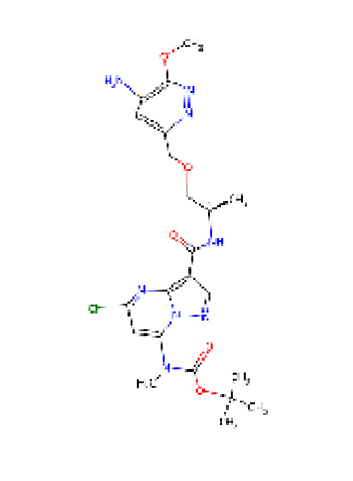 COc1nnc(COC[C@@H](C)NC(=O)c2cnn3c(N(C)C(=O)OC(C)(C)C)cc(Cl)nc23)cc1N